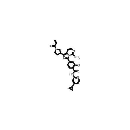 C=CC(=O)N1CCC(c2nc(-c3ccc(C(=O)Nc4cc(C5CC5)ccn4)c(Cl)c3)n3c(N)nccc23)C1